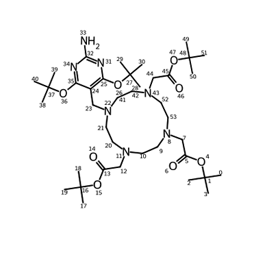 CC(C)(C)OC(=O)CN1CCN(CC(=O)OC(C)(C)C)CCN(Cc2c(OC(C)(C)C)nc(N)nc2OC(C)(C)C)CCN(CC(=O)OC(C)(C)C)CC1